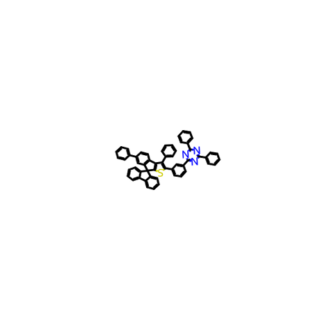 c1ccc(-c2ccc3c(c2)C2(c4ccccc4-c4ccccc42)c2sc(-c4cccc(-c5nc(-c6ccccc6)nc(-c6ccccc6)n5)c4)c(-c4ccccc4)c2-3)cc1